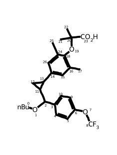 CCCCOC(c1ccc(OC(F)(F)F)cc1)C1CC1c1cc(C)c(OC(C)(C)C(=O)O)c(C)c1